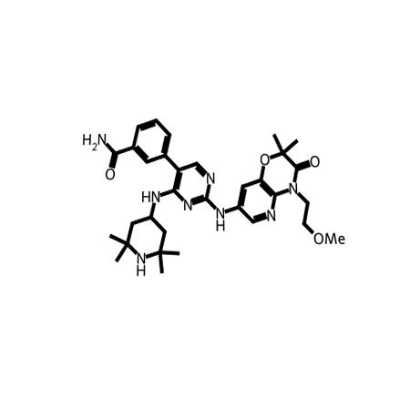 COCCN1C(=O)C(C)(C)Oc2cc(Nc3ncc(-c4cccc(C(N)=O)c4)c(NC4CC(C)(C)NC(C)(C)C4)n3)cnc21